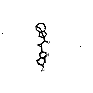 COc1ccc2cc(C3CC3C(=O)C34CC5CCCC(C3)C(C5)C4)cnc2c1